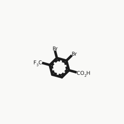 O=C(O)c1ccc(C(F)(F)F)c(Br)c1Br